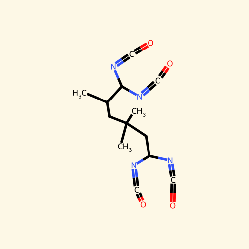 CC(CC(C)(C)CC(N=C=O)N=C=O)C(N=C=O)N=C=O